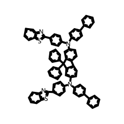 c1ccc(-c2ccc(N(c3ccc(-c4nc5ccccc5s4)cc3)c3ccc4c(c3)C(c3ccccc3)(c3ccccc3)c3cc(N(c5ccc(-c6ccccc6)cc5)c5ccc(-c6nc7ccccc7s6)cc5)ccc3-4)cc2)cc1